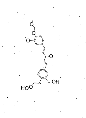 COCOc1ccc(/C=C/C(=O)/C=C/c2ccc(CCOO)c(CO)c2)cc1OC